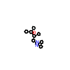 C1=CCC(c2cc(-c3ccccc3)cc3c2oc2c(-c4ccccc4)cc(-c4cccc(-c5cnc6c7ccccc7c7ccccc7c6n5)c4)cc23)C=C1